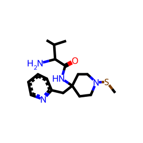 CSN1CCC(Cc2ccccn2)(NC(=O)C(N)C(C)C)CC1